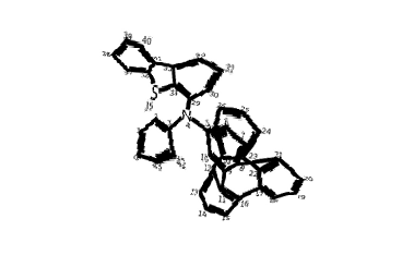 c1ccc(N(c2ccc3c(c2)-c2c4cccc2-c2cccc-3c2-c2ccccc2-4)c2cccc3c2sc2ccccc23)cc1